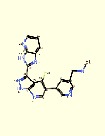 CCNCc1cncc(-c2cnc3[nH]nc(-c4nc5cccnc5[nH]4)c3c2F)c1